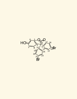 O=C1Oc2cc(O)ccc2C1(c1ccc(Br)cc1)c1ccc(Br)cc1